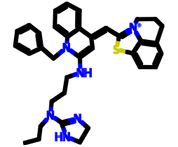 CCCN(CCCNC1=C/C(=C\c2sc3cccc4c3[n+]2CCC4)c2ccccc2N1Cc1ccccc1)C1=NCCN1